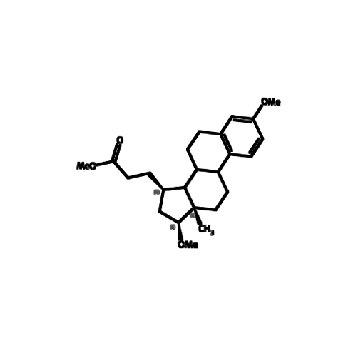 COC(=O)CC[C@@H]1C[C@H](OC)[C@@]2(C)CCC3c4ccc(OC)cc4CCC3C12